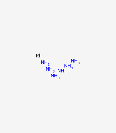 N.N.N.N.N.N.[Rh]